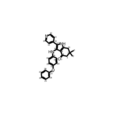 CC1(C)CC(=O)c2c([nH]c(-c3ccncc3)c2Nc2ccc(Oc3ccccc3)cc2)C1